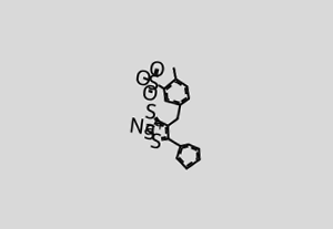 Cc1ccc(Cc2c(-c3ccccc3)ssc2=S)cc1S(=O)(=O)[O-].[Na+]